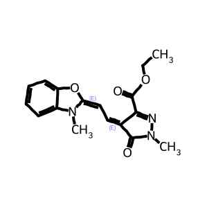 CCOC(=O)C1=NN(C)C(=O)/C1=C/C=C1/Oc2ccccc2N1C